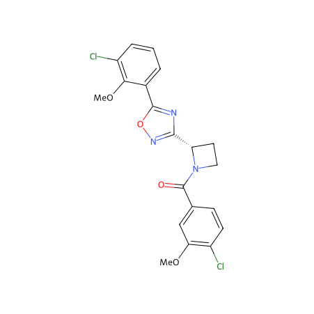 COc1cc(C(=O)N2CC[C@H]2c2noc(-c3cccc(Cl)c3OC)n2)ccc1Cl